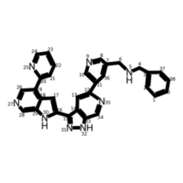 c1ccc(CNCc2cncc(-c3cc4c(-c5cc6c(-c7ccccn7)cncc6[nH]5)n[nH]c4cn3)c2)cc1